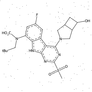 CC(C)(C)CN(C(=O)O)c1cc(F)cc2c1[nH]c1nc(S(C)(=O)=O)nc(N3CC4CC(O)C4C3)c12